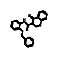 O=C(Nc1ccccc1CCc1ccccc1)C1CSc2ccccc2C1=O